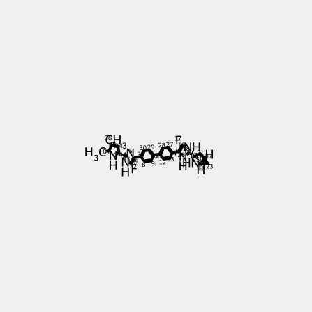 CC1N[C@H](c2nc(-c3ccc(-c4ccc(C5=C(F)NC([C@@H]6C[C@H]7C[C@H]7N6)N5)cc4)cc3)c(F)[nH]2)C[C@H]1C